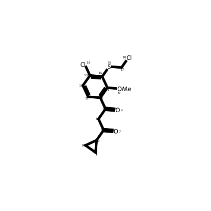 COc1c(C(=O)CC(=O)C2CC2)ccc(Cl)c1SCCl